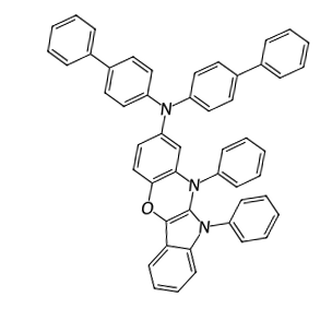 c1ccc(-c2ccc(N(c3ccc(-c4ccccc4)cc3)c3ccc4c(c3)N(c3ccccc3)c3c(c5ccccc5n3-c3ccccc3)O4)cc2)cc1